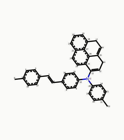 Cc1ccc(C=Cc2ccc(N(C3=CCC4=CCc5cccc6ccc3c4c56)c3ccc(C)cc3)cc2)cc1